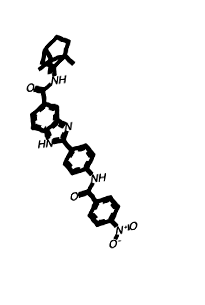 CC1(C)C2CCC1(C)C(NC(=O)c1ccc3[nH]c(-c4ccc(NC(=O)c5ccc([N+](=O)[O-])cc5)cc4)nc3c1)C2